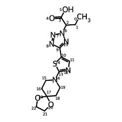 CCC(C(=O)O)n1nnc(-c2cnc(N3CCC4(CC3)OCCO4)s2)n1